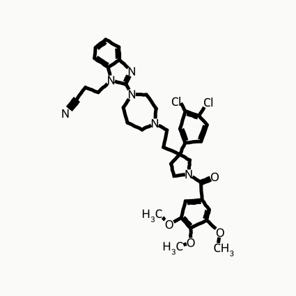 COc1cc(C(=O)N2CCC(CCN3CCCN(c4nc5ccccc5n4CCC#N)CC3)(c3ccc(Cl)c(Cl)c3)C2)cc(OC)c1OC